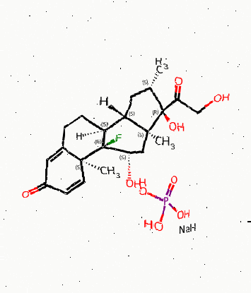 C[C@H]1C[C@H]2[C@@H]3CCC4=CC(=O)C=C[C@]4(C)[C@@]3(F)[C@@H](O)C[C@]2(C)[C@@]1(O)C(=O)CO.O=P(O)(O)O.[NaH]